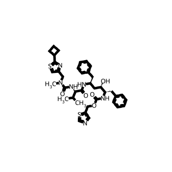 CC(C)[C@H](NC(=O)N(C)Cc1csc(C2CCC2)n1)C(=O)N[C@@H](Cc1ccccc1)C[C@H](O)[C@H](Cc1ccccc1)NC(=O)OCc1cncs1